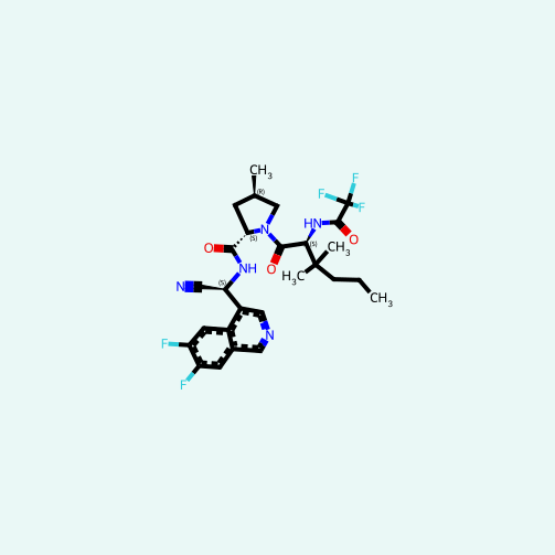 CCCC(C)(C)[C@H](NC(=O)C(F)(F)F)C(=O)N1C[C@H](C)C[C@H]1C(=O)N[C@H](C#N)c1cncc2cc(F)c(F)cc12